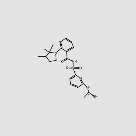 CC(C)[C@@H](C)Nc1cccc(S(=O)(=O)NC(=O)c2cccnc2N2CCC(C)C2(C)C)n1